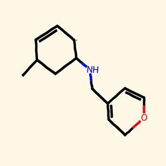 CC1C=C[CH]C(NCC2=CCOC=C2)C1